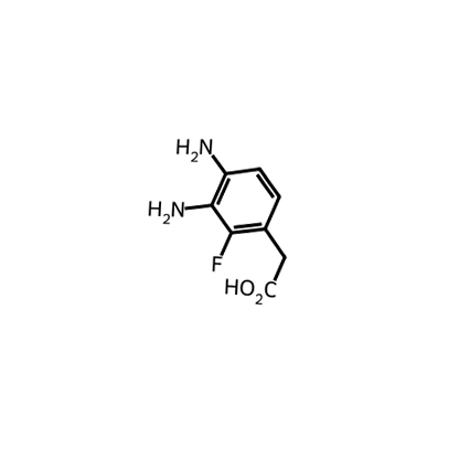 Nc1ccc(CC(=O)O)c(F)c1N